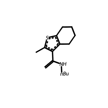 C=C(NCCCC)c1c(C)sc2c1CCCC2